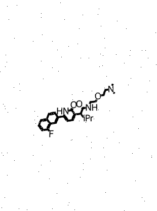 CC(C)C(C(=O)NCCOCCN(C)C)c1ccc(-c2ccc3cccc(F)c3c2)[nH]c1=O